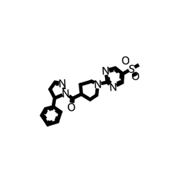 CS(=O)(=O)c1cnc(N2CCC(C(=O)N3N=CCC3c3ccccc3)CC2)nc1